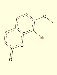 COc1ccc2ccc(=O)oc2c1Br